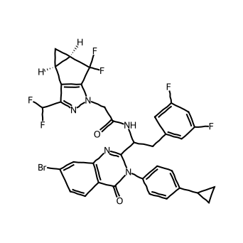 O=C(Cn1nc(C(F)F)c2c1C(F)(F)[C@@H]1C[C@H]21)NC(Cc1cc(F)cc(F)c1)c1nc2cc(Br)ccc2c(=O)n1-c1ccc(C2CC2)cc1